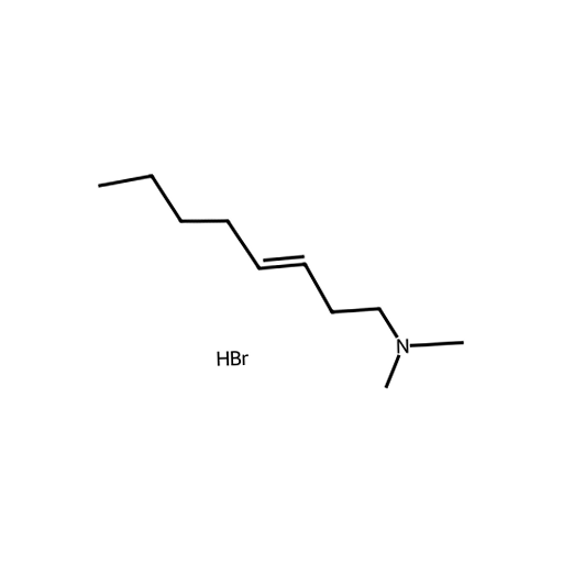 Br.CCCCC=CCCN(C)C